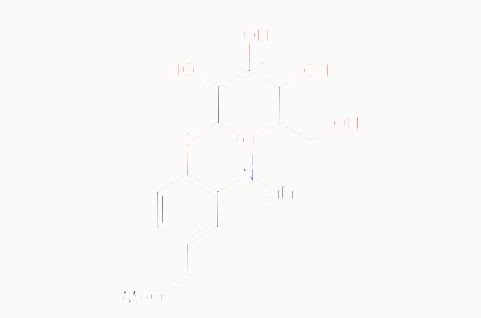 COCc1ccc(OC2OC(CO)C(O)C(O)C2O)c(NC(C)C)c1